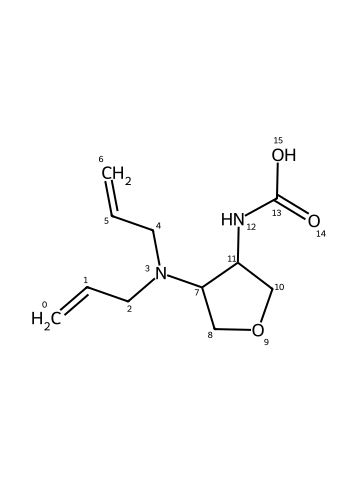 C=CCN(CC=C)C1COCC1NC(=O)O